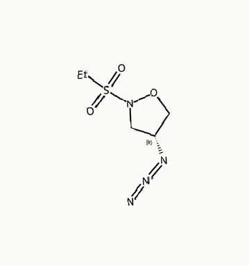 CCS(=O)(=O)N1C[C@@H](N=[N+]=[N-])CO1